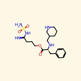 N=C(CCCOC(=O)[C@H](Cc1ccccc1)NCC1CCCNC1)NS(N)(=O)=O